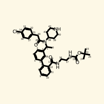 CC(c1cccc(-c2ccccc2C(=O)NCCNC(=O)OC(C)(C)C)c1)N(C(=O)Cc1ccc(Cl)cc1)C1CCNCC1